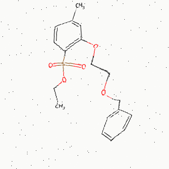 CCOS(=O)(=O)c1ccc(C)cc1OCCOCc1ccccc1